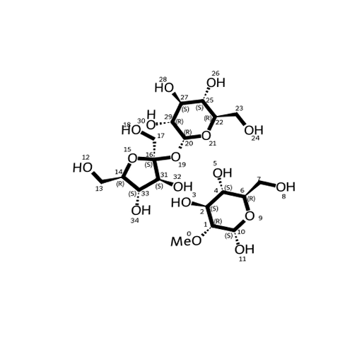 CO[C@@H]1[C@@H](O)[C@H](O)[C@@H](CO)O[C@@H]1O.OC[C@H]1O[C@@](CO)(O[C@H]2O[C@H](CO)[C@@H](O)[C@H](O)[C@H]2O)[C@@H](O)[C@@H]1O